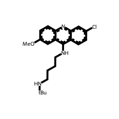 COc1ccc2nc3cc(Cl)ccc3c(NCCCCNC(C)(C)C)c2c1